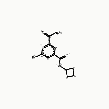 CNC(=O)c1cc(C(=O)NC2CCC2)cc(Br)n1